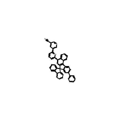 N#Cc1cncc(-c2cccc(-c3cc4c(c5ccccc35)-c3ccc(-c5ccccc5)cc3C43c4ccccc4-c4ccccc43)n2)c1